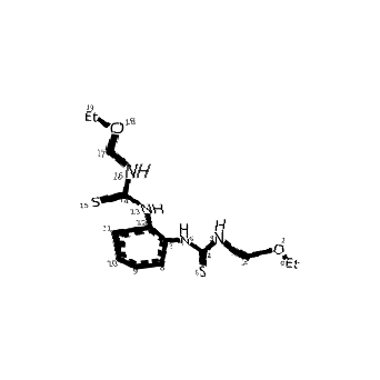 CCOCNC(=S)Nc1ccccc1NC(=S)NCOCC